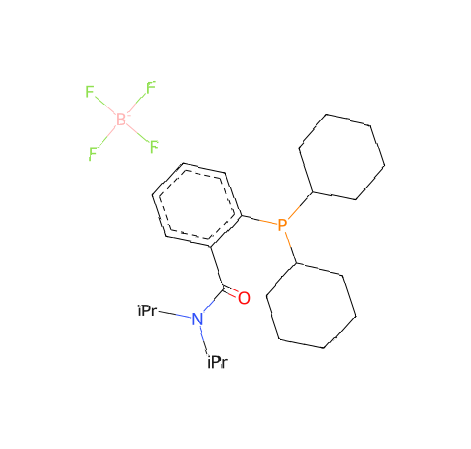 CC(C)N(C(=O)c1ccccc1P(C1CCCCC1)C1CCCCC1)C(C)C.F[B-](F)(F)F